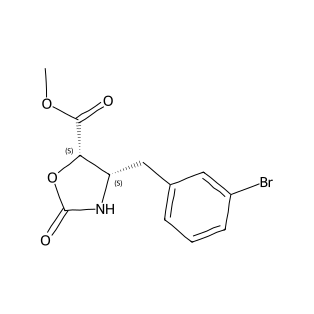 COC(=O)[C@H]1OC(=O)N[C@H]1Cc1cccc(Br)c1